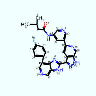 CC(C)CC(=O)Nc1cncc(-c2cc3c(-c4nc5c(-c6ccc(F)cc6)cncc5[nH]4)n[nH]c3cn2)c1